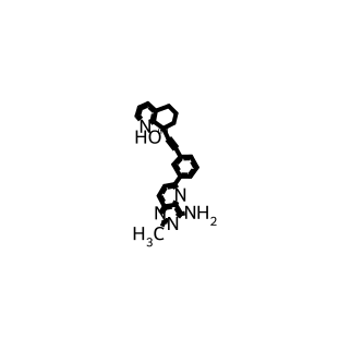 Cc1nc(N)c2nc(-c3cccc(C#C[C@]4(O)CCCc5cccnc54)c3)ccc2n1